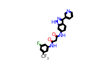 O=C(CC(=O)Nc1ccc2c(-c3cccnc3)n[nH]c2c1)Nc1cc(F)cc(C(F)(F)F)c1